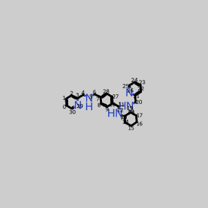 c1ccc(CNCc2ccc(CN[C@H]3CCCC[C@H]3NCc3ccccn3)cc2)nc1